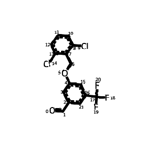 O=Cc1cc(OCc2c(Cl)cccc2Cl)cc(C(F)(F)F)c1